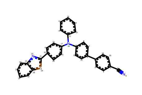 N#Cc1ccc(-c2ccc(N(c3ccccc3)c3ccc(-c4nc5ccccc5s4)cc3)cc2)cc1